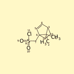 CC1(C)C2C=CC1(CS(=O)(=O)Cl)CC2